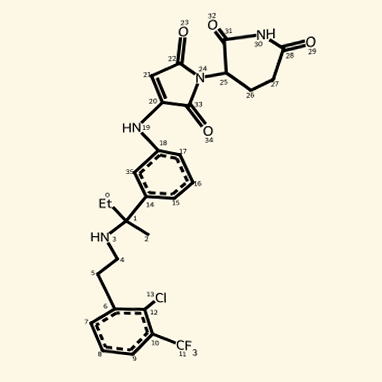 CCC(C)(NCCc1cccc(C(F)(F)F)c1Cl)c1cccc(NC2=CC(=O)N(C3CCC(=O)NC3=O)C2=O)c1